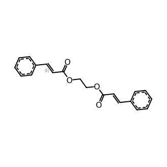 O=C(C=Cc1ccccc1)OCCOC(=O)/C=C/c1ccccc1